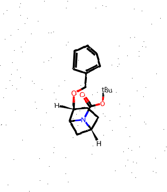 CC(C)(C)OC(=O)N1C2C[C@H]1CC[C@H]2OCc1ccccc1